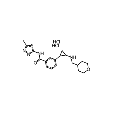 Cc1nnc(NC(=O)c2cccc(C3CC3NCC3CCOCC3)c2)s1.Cl.Cl